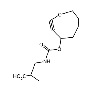 CC(CNC(=O)OC1C#CCCCCC1)C(=O)O